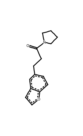 O=C(CCc1ccc2occc2c1)N1CCCC1